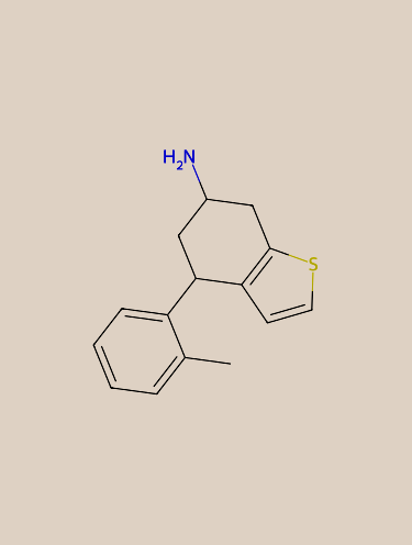 Cc1ccccc1C1CC(N)Cc2sccc21